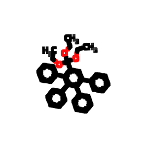 CCO[Si](OCC)(OCC)c1cc(-c2ccccc2)c(-c2ccccc2)c(-c2ccccc2)c1-c1ccccc1